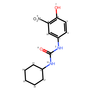 O=C(Nc1ccc(O)c([N+](=O)[O-])c1)NC1CCCCC1